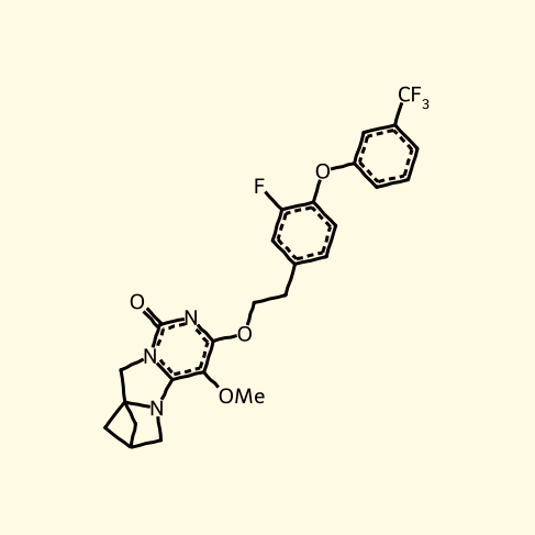 COc1c(OCCc2ccc(Oc3cccc(C(F)(F)F)c3)c(F)c2)nc(=O)n2c1N1CC3CC1(C3)C2